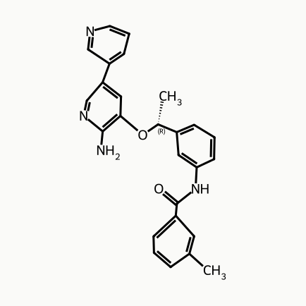 Cc1cccc(C(=O)Nc2cccc([C@@H](C)Oc3cc(-c4cccnc4)cnc3N)c2)c1